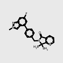 BC1(B)c2ncccc2C(=O)N1Cc1ccc(-c2cc(F)cc3nn(C)cc23)cc1